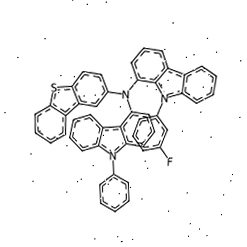 Fc1cccc(-n2c3ccccc3c3cccc(N(c4ccc5sc6ccccc6c5c4)c4cccc5c4c4ccccc4n5-c4ccccc4)c32)c1